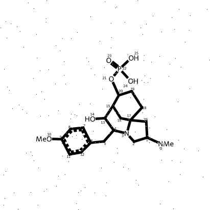 CNC1CN2C(Cc3ccc(OC)cc3)C(O)C3CC2(CCC3OP(=O)(O)O)C1